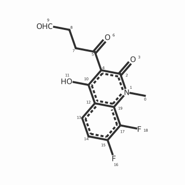 Cn1c(=O)c(C(=O)CCC=O)c(O)c2ccc(F)c(F)c21